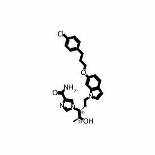 C[C@H](O)[C@@H](CCn1ccc2ccc(OCCCc3ccc(Cl)cc3)cc21)n1cnc(C(N)=O)c1